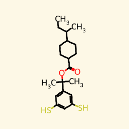 CCC(C)C1CCC(C(=O)OC(C)(C)c2cc(S)cc(S)c2)CC1